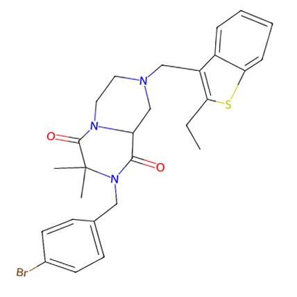 CCc1sc2ccccc2c1CN1CCN2C(=O)C(C)(C)N(Cc3ccc(Br)cc3)C(=O)C2C1